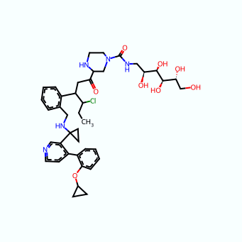 CCC(Cl)C(CC(=O)C1CN(C(=O)NC[C@H](O)[C@@H](O)[C@H](O)[C@H](O)CO)CCN1)c1ccccc1CNC1(c2cnccc2-c2ccccc2OC2CC2)CC1